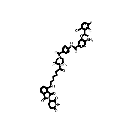 CC(Oc1cc(C(=O)Nc2ccc(C(=O)N3C[C@@H](C)N(C(=O)CCCCCNc4cccc5c4C(=O)N(C4CCC(=O)NC4=O)C5=O)[C@@H](C)C3)cc2)nnc1N)c1c(Cl)ccc(F)c1Cl